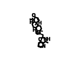 CC(NC(=O)C[C@H]1CC[C@H]2[C@@H]3CC[C@H]4N(C)C(=O)C=C[C@]4(C)[C@H]3CC[C@]12C)c1ccccn1